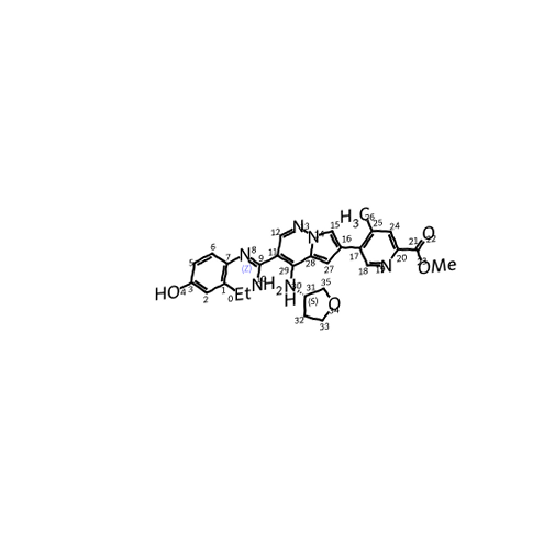 CCc1cc(O)ccc1/N=C(\N)c1cnn2cc(-c3cnc(C(=O)OC)cc3C)cc2c1N[C@H]1CCOC1